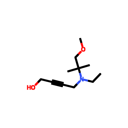 CCN(CC#CCO)C(C)(C)COC